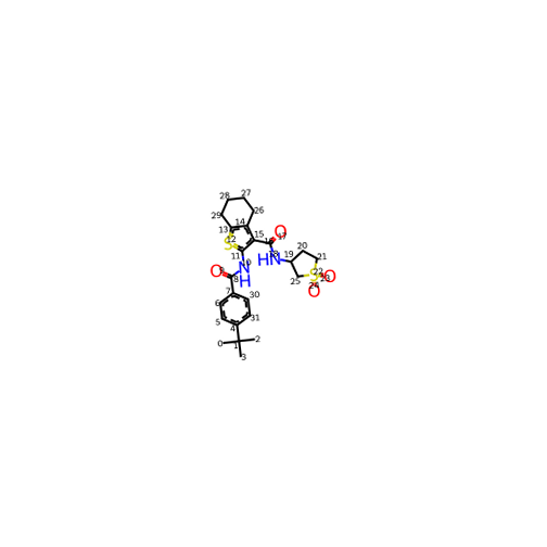 CC(C)(C)c1ccc(C(=O)Nc2sc3c(c2C(=O)NC2CCS(=O)(=O)C2)CCCC3)cc1